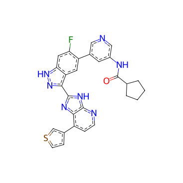 O=C(Nc1cncc(-c2cc3c(-c4nc5c(-c6ccsc6)ccnc5[nH]4)n[nH]c3cc2F)c1)C1CCCC1